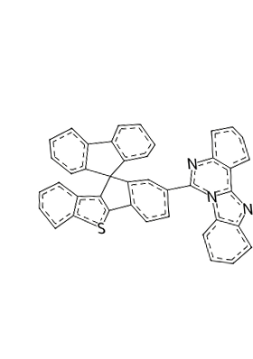 c1ccc2c(c1)-c1ccccc1C21c2cc(-c3nc4ccccc4c4nc5ccccc5n34)ccc2-c2sc3ccccc3c21